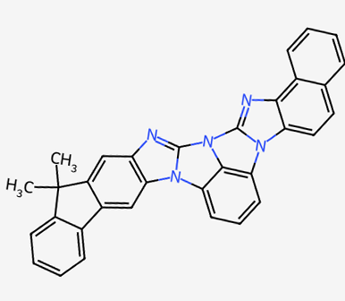 CC1(C)c2ccccc2-c2cc3c(cc21)nc1n3c2cccc3c2n1c1nc2c4ccccc4ccc2n31